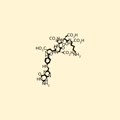 NCCCC[C@H](NC(=O)[C@H](CC(=O)O)NC(=O)[C@H](CC(=O)O)NC(=O)[C@H](CC(=O)O)NC(=O)CC[C@H](NC(=O)c1ccc(NCc2cnc3nc(N)[nH]c(=O)c3n2)cc1)C(=O)O)C(=O)O